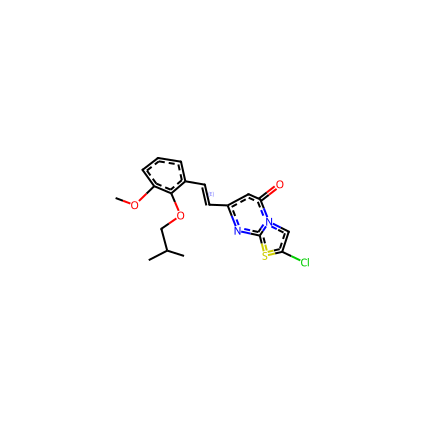 COc1cccc(/C=C/c2cc(=O)n3cc(Cl)sc3n2)c1OCC(C)C